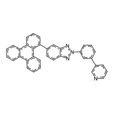 c1cncc(-c2cccc(-n3nc4ccc(-c5cccc6c7ccccc7c7ccccc7c56)cc4n3)c2)c1